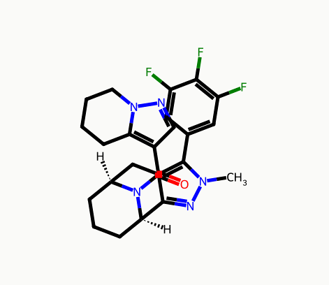 Cn1nc2c(c1-c1cc(F)c(F)c(F)c1)C[C@@H]1CCC[C@H]2N1C(=O)c1cnn2c1CCCC2